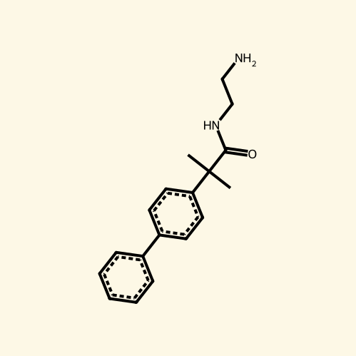 CC(C)(C(=O)NCCN)c1ccc(-c2ccccc2)cc1